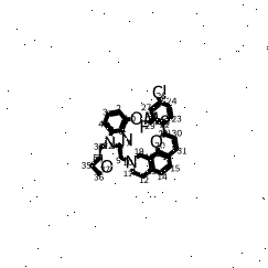 COc1cccc2c1nc(CN1CCc3ccc4c(c3C1)O[C@@H](c1ccc(Cl)cc1F)C=C4)n2C[C@@H]1CCO1